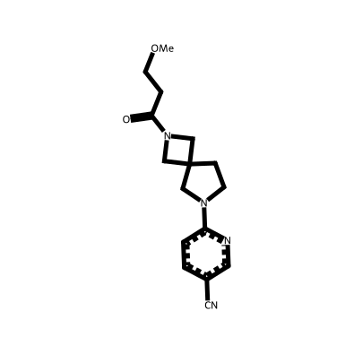 COCCC(=O)N1CC2(CCN(c3ccc(C#N)cn3)C2)C1